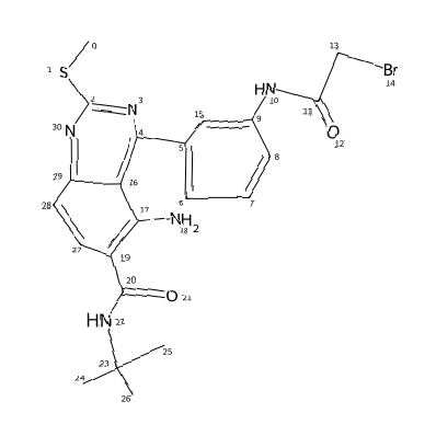 CSc1nc(-c2cccc(NC(=O)CBr)c2)c2c(N)c(C(=O)NC(C)(C)C)ccc2n1